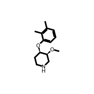 CO[C@H]1CNCC[C@H]1Oc1cccc(C)c1C